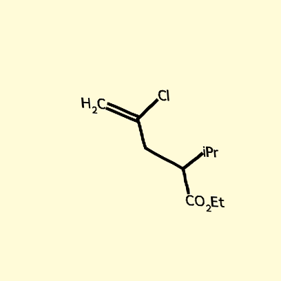 C=C(Cl)CC(C(=O)OCC)C(C)C